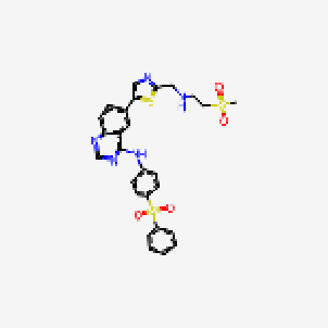 CS(=O)(=O)CCNCc1ncc(-c2ccc3ncnc(Nc4ccc(S(=O)(=O)c5ccccc5)cc4)c3c2)s1